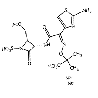 CC(=O)OC[C@@H]1[C@H](NC(=O)C(=NOC(C)(C)C(=O)O)c2csc(N)n2)C(=O)N1S(=O)(=O)O.[Na].[Na]